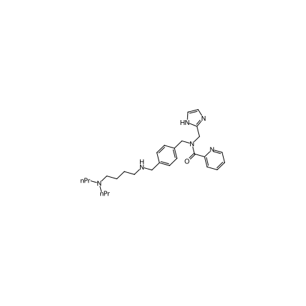 CCCN(CCC)CCCCNCc1ccc(CN(Cc2ncc[nH]2)C(=O)c2ccccn2)cc1